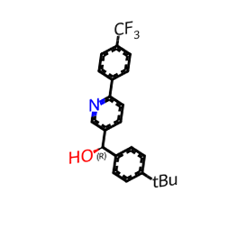 CC(C)(C)c1ccc([C@@H](O)c2ccc(-c3ccc(C(F)(F)F)cc3)nc2)cc1